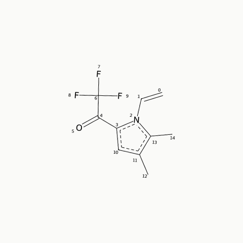 C=Cn1c(C(=O)C(F)(F)F)cc(C)c1C